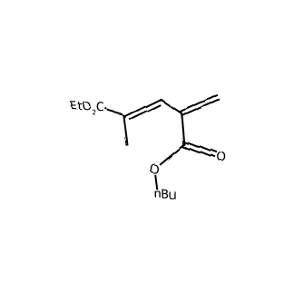 C=C(C=C(C)C(=O)OCC)C(=O)OCCCC